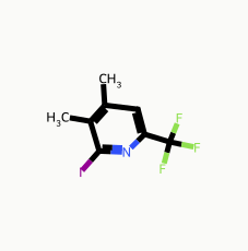 Cc1cc(C(F)(F)F)nc(I)c1C